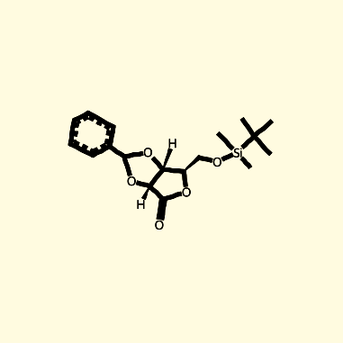 CC(C)(C)[Si](C)(C)OC[C@H]1OC(=O)[C@@H]2OC(c3ccccc3)O[C@H]12